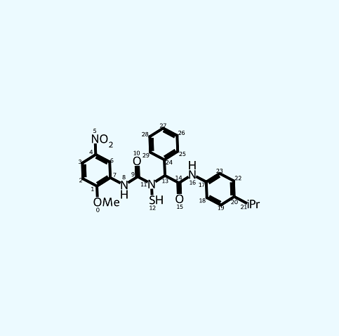 COc1ccc([N+](=O)[O-])cc1NC(=O)N(S)C(C(=O)Nc1ccc(C(C)C)cc1)c1ccccc1